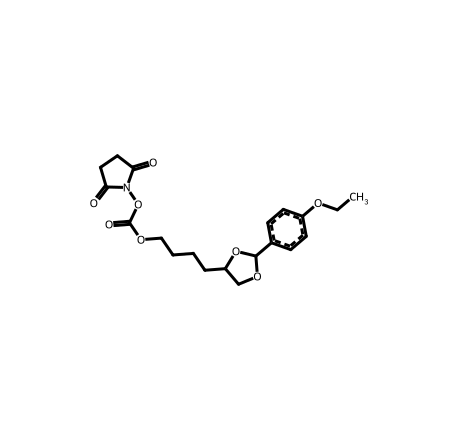 CCOc1ccc(C2OCC(CCCCOC(=O)ON3C(=O)CCC3=O)O2)cc1